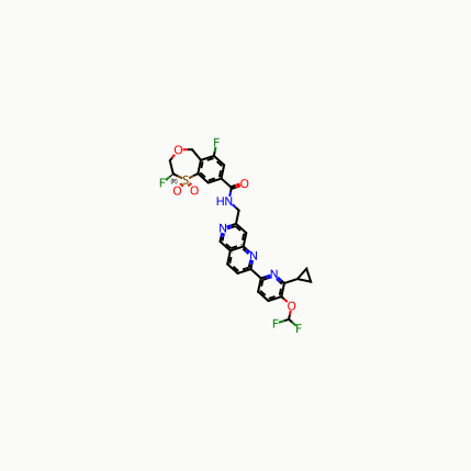 O=C(NCc1cc2nc(-c3ccc(OC(F)F)c(C4CC4)n3)ccc2cn1)c1cc(F)c2c(c1)S(=O)(=O)[C@@H](F)COC2